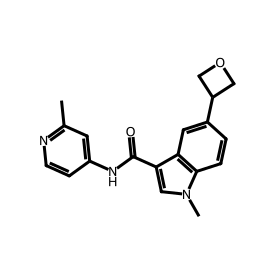 Cc1cc(NC(=O)c2cn(C)c3ccc(C4COC4)cc23)ccn1